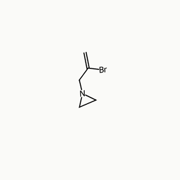 C=C(Br)CN1CC1